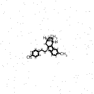 Cc1ccc2c(c1)c1c(n2CCc2ccc(Cl)cc2)C[C@H]2CC[C@@H]1N2C